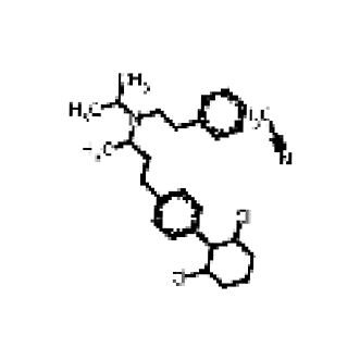 CC#N.CC(C)N(CCc1ccccc1)C(C)CCc1ccc(C2C(Cl)CCCC2Cl)cc1